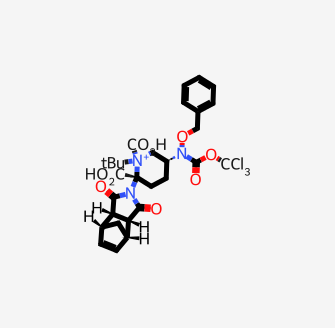 CC(C)(C)[N+]1(C(=O)O)C[C@H](N(OCc2ccccc2)C(=O)OC(Cl)(Cl)Cl)CC[C@]1(C(=O)O)N1C(=O)[C@@H]2[C@H](C1=O)[C@@H]1C=C[C@H]2C1